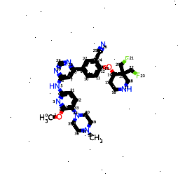 COc1nc(Nc2cc(-c3ccc(OC4CCNCC4(CF)CF)c(C#N)c3)ncn2)ccc1N1CCN(C)CC1